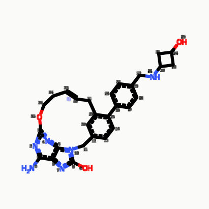 Nc1nc2nc3c1nc(O)n3Cc1ccc(-c3ccc(CNC4CC(O)C4)cc3)c(c1)C/C=C/CCO2